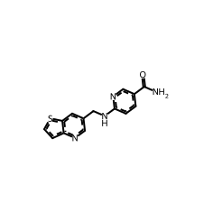 NC(=O)c1ccc(NCc2cnc3ccsc3c2)nc1